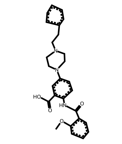 COc1ccccc1C(=O)Nc1ccc(N2CCN(CCc3ccccc3)CC2)cc1C(=O)O